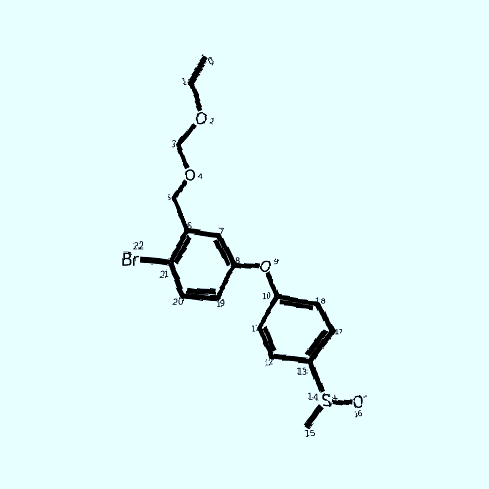 CCOCOCc1cc(Oc2ccc([S+](C)[O-])cc2)ccc1Br